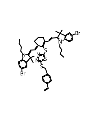 C=Cc1ccc(CSc2nnc(SC3=C(/C=C/C4=[N+](CCCC)c5ccc(Br)cc5C4(C)C)CCC/C3=C\C=C3\N(CCCC)c4ccc(Br)cc4C3(C)C)s2)cc1